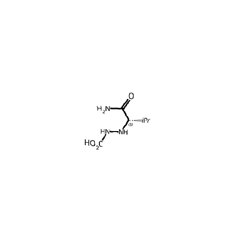 CC(C)[C@H](NNC(=O)O)C(N)=O